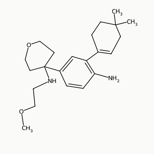 COCCNC1(c2ccc(N)c(C3=CCC(C)(C)CC3)c2)CCOCC1